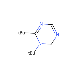 CC(C)(C)C1=NC=NCN1C(C)(C)C